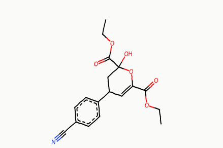 CCOC(=O)C1=CC(c2ccc(C#N)cc2)CC(O)(C(=O)OCC)O1